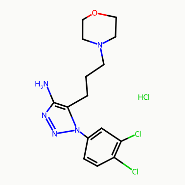 Cl.Nc1nnn(-c2ccc(Cl)c(Cl)c2)c1CCCN1CCOCC1